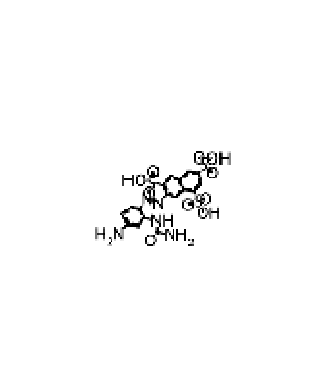 NC(=O)Nc1cc(N)ccc1/N=N/c1cc2c(S(=O)(=O)O)cc(S(=O)(=O)O)cc2cc1S(=O)(=O)O